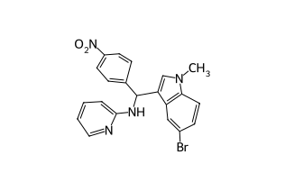 Cn1cc(C(Nc2ccccn2)c2ccc([N+](=O)[O-])cc2)c2cc(Br)ccc21